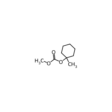 COC(=O)OC1(C)CCCCC1